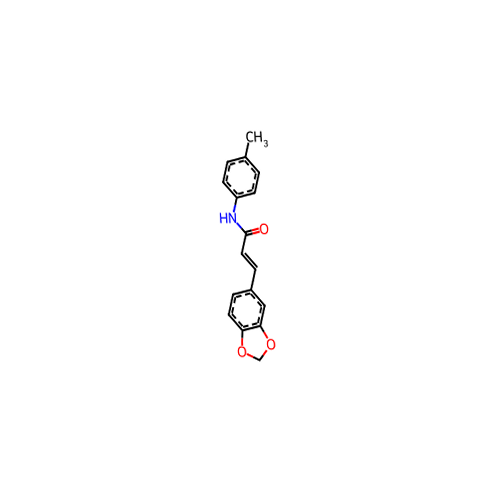 Cc1ccc(NC(=O)/C=C/c2ccc3c(c2)OCO3)cc1